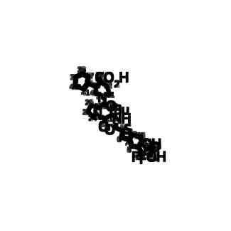 CC(C)(C)C(NC(=O)c1cc2cc(C(F)(F)P(=O)(O)O)ccc2s1)C(=O)N1CCC[C@H]1C(=O)N1CCC(C(=O)O)C(c2ccccc2)C1